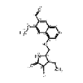 CCC1C(COc2cncc3cc(C=O)c(OC)cc23)NC(=O)C1F